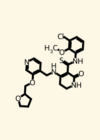 COc1c(Cl)cccc1NC(=S)C1=C(NCc2ccncc2OCC2CCCO2)CCNC1=O